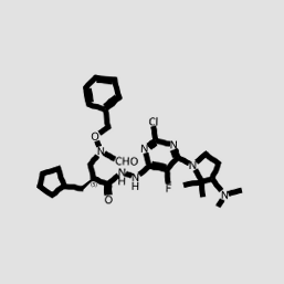 CN(C)C1CCN(c2nc(Cl)nc(NNC(=O)[C@@H](CC3CCCC3)CN(C=O)OCc3ccccc3)c2F)C1(C)C